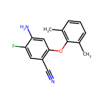 Cc1cccc(C)c1Oc1cc(N)c(F)cc1C#N